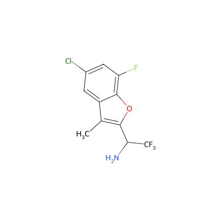 Cc1c(C(N)C(F)(F)F)oc2c(F)cc(Cl)cc12